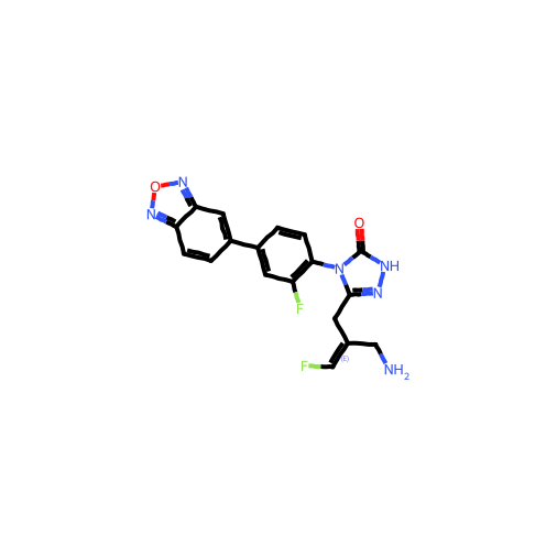 NC/C(=C/F)Cc1n[nH]c(=O)n1-c1ccc(-c2ccc3nonc3c2)cc1F